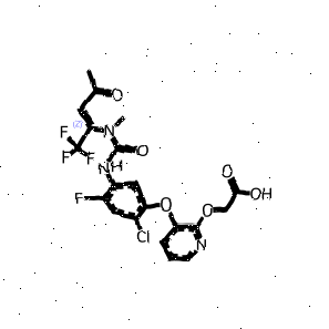 CC(=O)/C=C(\N(C)C(=O)Nc1cc(Oc2cccnc2OCC(=O)O)c(Cl)cc1F)C(F)(F)F